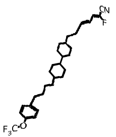 N#CC(F)=CC=CCCC1CCC(C2CCC(CCCCc3ccc(OC(F)(F)F)cc3)CC2)CC1